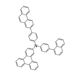 c1ccc2c(-c3ccc(N(c4ccc(-c5ccc6c(ccc7ccccc76)c5)cc4)c4ccc5c6ccccc6c6ccccc6c5c4)cc3)cccc2c1